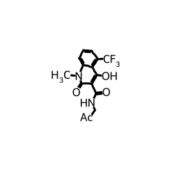 CC(=O)CNC(=O)c1c(O)c2c(C(F)(F)F)cccc2n(C)c1=O